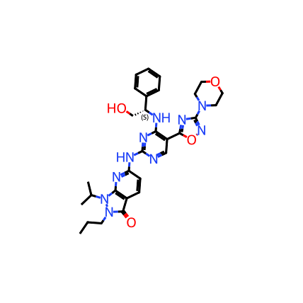 CCCn1c(=O)c2ccc(Nc3ncc(-c4nc(N5CCOCC5)no4)c(N[C@H](CO)c4ccccc4)n3)nc2n1C(C)C